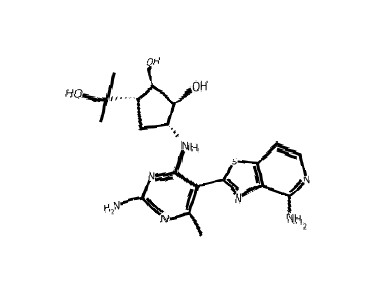 Cc1nc(N)nc(N[C@@H]2C[C@H](C(C)(C)O)[C@@H](O)[C@H]2O)c1-c1nc2c(N)nccc2s1